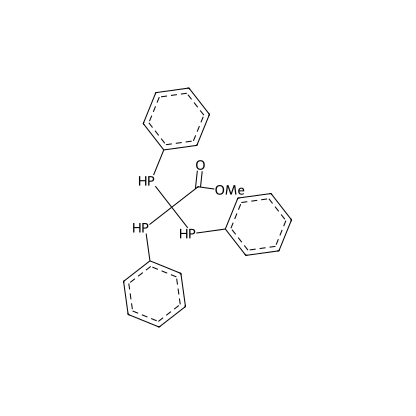 COC(=O)C(Pc1ccccc1)(Pc1ccccc1)Pc1ccccc1